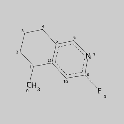 CC1CCCc2cnc(F)cc21